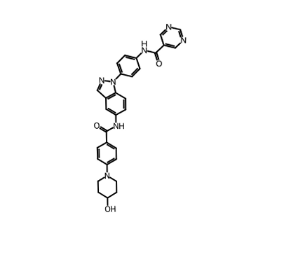 O=C(Nc1ccc2c(cnn2-c2ccc(NC(=O)c3cncnc3)cc2)c1)c1ccc(N2CCC(O)CC2)cc1